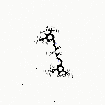 CC(C)(C)c1cc(/C=C/C(=O)N(N)C(=O)/C=C/c2cc(C(C)(C)C)c(O)c(C(C)(C)C)c2)cc(C(C)(C)C)c1O